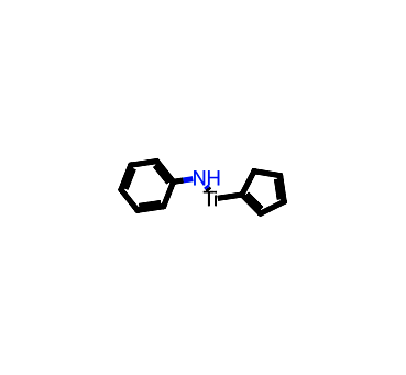 C1=CC[C]([Ti][NH]c2ccccc2)=C1